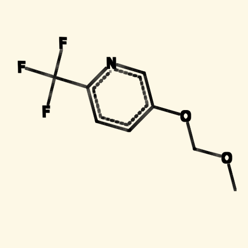 COCOc1ccc(C(F)(F)F)nc1